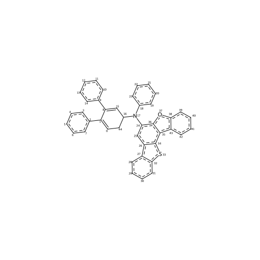 C1=C(c2ccccc2)C(c2ccccc2)=CC(N(c2ccccc2)c2cc3c4ccccc4sc3c3c2oc2ccccc23)C1